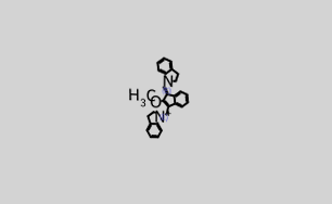 COC1=C(/C=[N+]2\CCc3ccccc32)c2ccccc2/C1=C\N1CCc2ccccc21